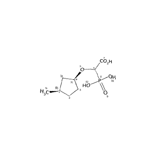 C[C@@H]1CC[C@H](OC(C(=O)O)P(=O)(O)O)C1